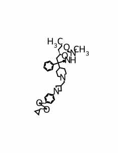 CCC[C@H](CC(C#N)(c1ccccc1)C1CCN(CC2CN(c3ccc(S(=O)(=O)C4CC4)cc3)C2)CC1)OC(=O)NC